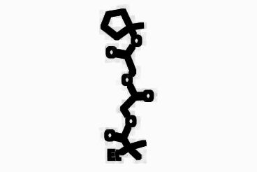 CCC(C)(C)C(=O)OCC(=O)OCC(=O)OC1(C)CCCC1